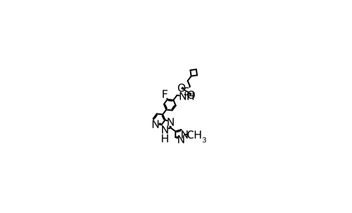 Cn1cc(-c2nc3c(-c4ccc(CNS(=O)(=O)CCC5CCC5)c(F)c4)ccnc3[nH]2)cn1